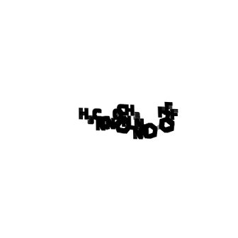 COc1nc(-c2nc3n(n2)CC[C@@H](c2cccc(C(F)(F)F)c2)C3)ccc1-n1cnc(C)c1